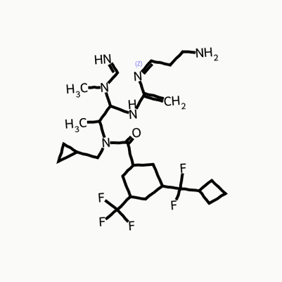 C=C(/N=C\CCN)NC(C(C)N(CC1CC1)C(=O)C1CC(C(F)(F)F)CC(C(F)(F)C2CCC2)C1)N(C)C=N